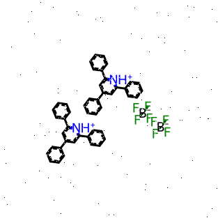 F[B-](F)(F)F.F[B-](F)(F)F.c1ccc(-c2cc(-c3ccccc3)[nH+]c(-c3ccccc3)c2)cc1.c1ccc(-c2cc(-c3ccccc3)[nH+]c(-c3ccccc3)c2)cc1